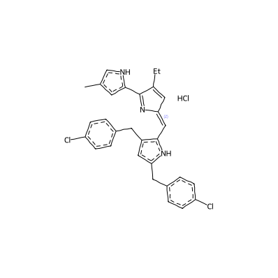 CCC1=C/C(=C/c2[nH]c(Cc3ccc(Cl)cc3)cc2Cc2ccc(Cl)cc2)N=C1c1cc(C)c[nH]1.Cl